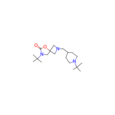 CC(C)(C)N1CCC(CN2CC3(C2)CN(C(C)(C)C)C(=O)O3)CC1